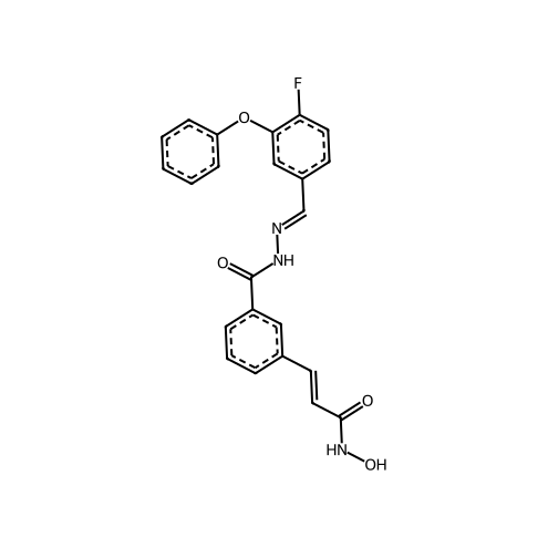 O=C(/C=C/c1cccc(C(=O)N/N=C/c2ccc(F)c(Oc3ccccc3)c2)c1)NO